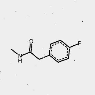 CNC(=O)Cc1ccc(F)cc1